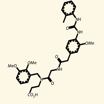 COc1cc(CC(=O)NCC(=O)N(CCC(=O)O)Cc2cccc(OC)c2OC)ccc1NC(=O)Nc1ccccc1C